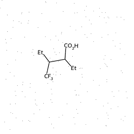 CCC(C(=O)O)C(CC)C(F)(F)F